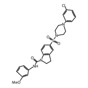 COc1cccc(NC(=O)N2CCc3cc(S(=O)(=O)N4CCN(c5cccc(Cl)c5)CC4)ccc32)c1